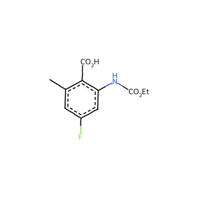 CCOC(=O)Nc1cc(F)cc(C)c1C(=O)O